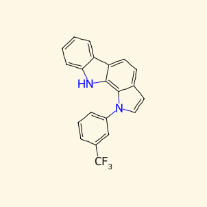 FC(F)(F)c1cccc(-n2ccc3ccc4c5ccccc5[nH]c4c32)c1